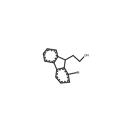 OCCC1c2ccccc2-c2cccc(Br)c21